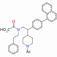 CC(=O)N1CCC(C(CN(CCc2ccccc2)C(=O)C(=O)O)c2ccc(-c3cccc4ccccc34)cc2)CC1